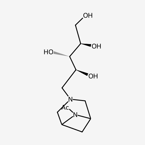 CC(=O)N1C2CC1CN(C[C@H](O)[C@H](O)[C@H](O)CO)C2